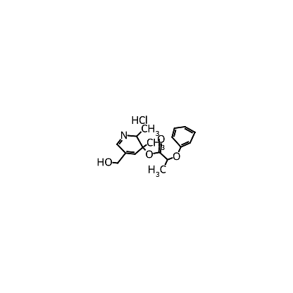 CC(Oc1ccccc1)C(=O)OC1(C)C=C(CO)C=NC1C.Cl